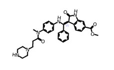 COC(=O)c1ccc2c(c1)NC(=O)/C2=C(\Nc1ccc(N(C)C(=O)CCN2CCNCC2)cc1)c1ccccc1